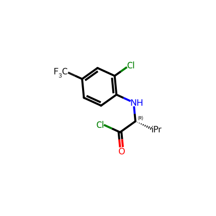 CC(C)[C@@H](Nc1ccc(C(F)(F)F)cc1Cl)C(=O)Cl